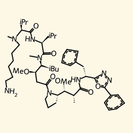 CC[C@H](C)[C@@H]([C@@H](CC(=O)N1CCC[C@H]1[C@H](OC)[C@@H](C)C(=O)N[C@H](Cc1ccccc1)c1nnc(-c2ccccc2)o1)OC)N(C)C(=O)[C@@H](NC(=O)[C@H](C(C)C)N(C)CCCCCCN)C(C)C